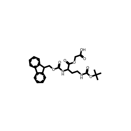 CC(C)(C)OC(=O)NCCC(NC(=O)OCC1c2ccccc2-c2ccccc21)C(=O)OCC(=O)O